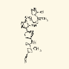 C[C@@H](OC(=O)Nc1c(-c2ccc(NC(=O)[C@]3(C)C[C@H](C#N)C3)cn2)nnn1C)c1cccnc1Cl